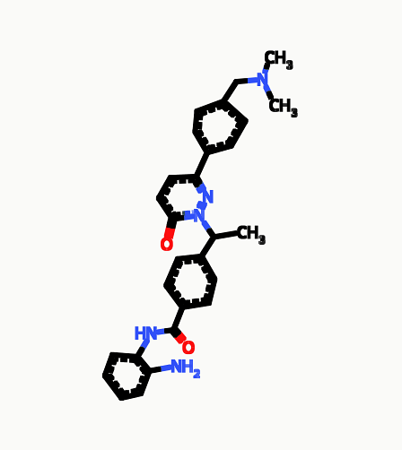 CC(c1ccc(C(=O)Nc2ccccc2N)cc1)n1nc(-c2ccc(CN(C)C)cc2)ccc1=O